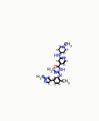 C=N/C(=N\c1cc(-c2cnn(C)c2)ccc1C)NC(=O)c1ccnc(NC2CCN(C)CC2)c1